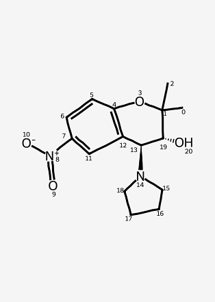 CC1(C)Oc2ccc([N+](=O)[O-])cc2[C@H](N2CCCC2)[C@H]1O